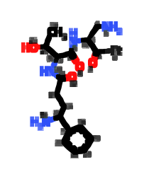 CCC(=O)[C@H](CN)NC(=O)[C@@H](NC(=O)CCC(N)c1ccccc1)C(C)O